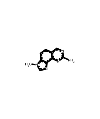 Cn1cnc2c3nc(N)ncc3ccc21